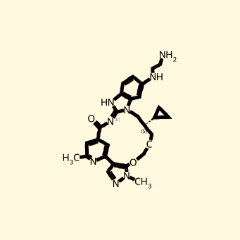 Cc1cc2cc(n1)-c1cnn(C)c1OCCC[C@@H](C1CC1)CN1/C(=N/C2=O)Nc2ccc(NCCN)cc21